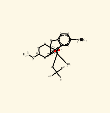 [C-]#[N+]c1ccc2c(c1)C1(N=C(N)N(CC(F)(F)F)C1=O)C1(CCC(OC)CC1)C2